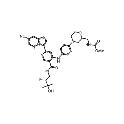 COC(=O)NCC1CN(c2ccc(Nc3cc(-c4ccc5cc(C#N)cnn45)ncc3C(=O)NC[C@@H](F)C(C)(C)O)cn2)CCO1